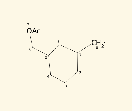 [CH2]C1CCCC(COC(C)=O)C1